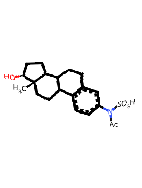 CC(=O)N(c1ccc2c(c1)CCC1C2CC[C@@]2(C)C1CC[C@@H]2O)S(=O)(=O)O